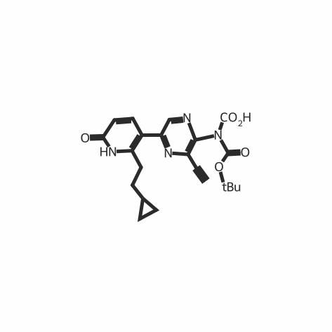 C#Cc1nc(-c2ccc(=O)[nH]c2CCC2CC2)cnc1N(C(=O)O)C(=O)OC(C)(C)C